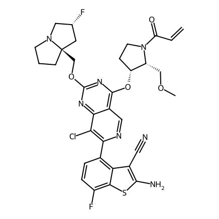 C=CC(=O)N1CC[C@@H](Oc2nc(OC[C@@]34CCCN3C[C@H](F)C4)nc3c(Cl)c(-c4ccc(F)c5sc(N)c(C#N)c45)ncc23)[C@H]1COC